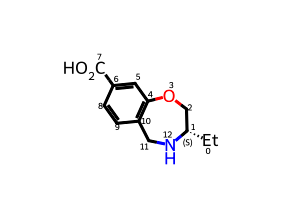 CC[C@H]1COc2cc(C(=O)O)ccc2CN1